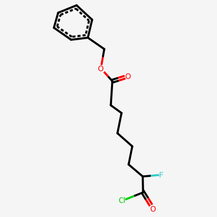 O=C(CCCCCC(F)C(=O)Cl)OCc1ccccc1